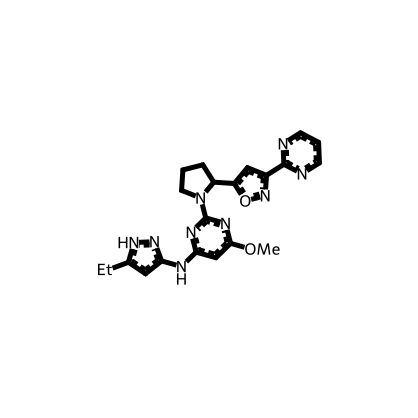 CCc1cc(Nc2cc(OC)nc(N3CCCC3c3cc(-c4ncccn4)no3)n2)n[nH]1